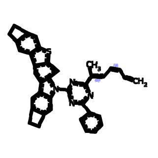 C=C/C=C\C=C(/C)c1nc(-c2ccccc2)nc(-n2c3cc4c(cc3c3cc5c(cc32)sc2cc3c(cc25)CC3)CC4)n1